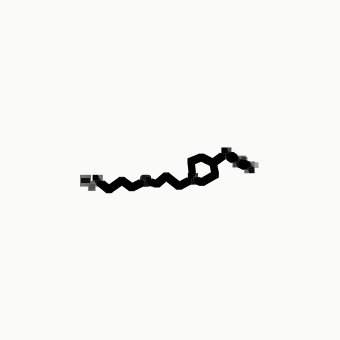 [N-]=[N+]=NC1CCN(CCCOCCCN)CC1